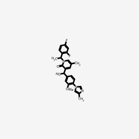 COc1cc(C(O)c2cc(C)cn(C(C)c3ccc(F)cc3F)c2=O)ccc1-n1cnc(C)c1